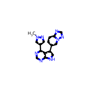 Cn1cc(-c2ncnc3[nH]cc(-c4ccc5ncnn5c4)c23)cn1